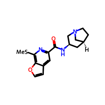 CSc1nc(C(=O)N[C@@H]2C[C@@H]3CCN(C3)C2)cc2ccoc12